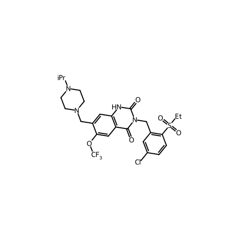 CCS(=O)(=O)c1ccc(Cl)cc1Cn1c(=O)[nH]c2cc(CN3CCN(C(C)C)CC3)c(OC(F)(F)F)cc2c1=O